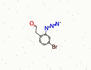 [N-]=[N+]=Nc1cc(Br)ccc1CC=O